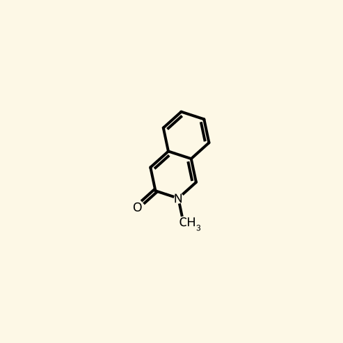 Cn1cc2ccccc2cc1=O